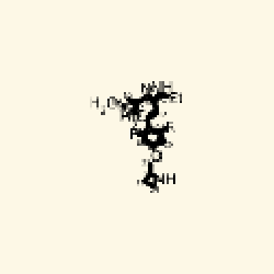 CCc1[nH]nc(-c2cnn(C)c2)c1/C=C(\C)c1c(F)cc(OCC2CCN2)cc1F